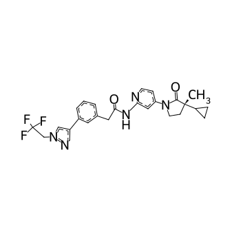 C[C@@]1(C2CC2)CCN(c2ccnc(NC(=O)Cc3cccc(-c4cnn(CC(F)(F)F)c4)c3)c2)C1=O